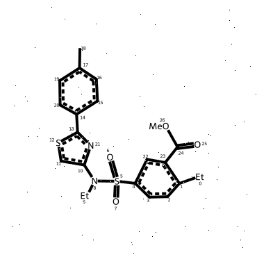 CCc1ccc(S(=O)(=O)N(CC)c2csc(-c3ccc(C)cc3)n2)cc1C(=O)OC